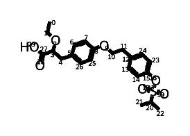 CCOC(Cc1ccc(OCCc2ccc(OS(=O)(=O)C(C)C)cc2)cc1)C(=O)O